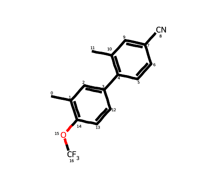 Cc1cc(-c2ccc(C#N)cc2C)ccc1OC(F)(F)F